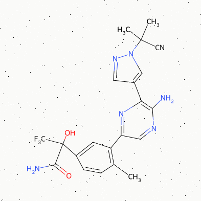 Cc1ccc(C(O)(C(N)=O)C(F)(F)F)cc1-c1cnc(N)c(-c2cnn(C(C)(C)C#N)c2)n1